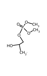 [CH2]C(O)COP(=O)(OC)OC